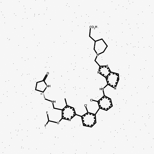 Cc1cc(-c2cccc(-c3cccc(Nc4nccc5sc(CN6CCCC(CC(=O)O)C6)nc45)c3Cl)c2Cl)nc(OC(F)F)c1CNC[C@@H]1CCC(=O)N1